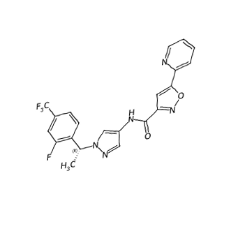 C[C@H](c1ccc(C(F)(F)F)cc1F)n1cc(NC(=O)c2cc(-c3ccccn3)on2)cn1